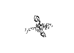 CCN(C)c1nc(Nc2ccncn2)c2c(n1)c(CN1CCOCC1)nn2CCOCC(F)(F)F